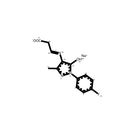 Cc1nn(-c2ccc(F)cc2)c(O)c1/N=C/CC(=O)[O-].[Na+]